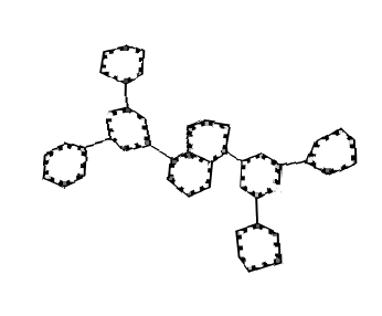 c1ccc(-c2cc(-c3cccc4c(-c5cc(-c6ccccc6)nc(-c6ccccc6)c5)cccc34)cc(-c3ccccc3)n2)cc1